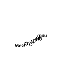 CCCCOC(=O)N1CC2(CCN(C(=O)Cc3ccc(OC)cc3)CC2)C1